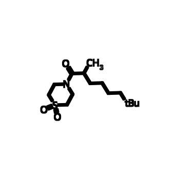 CC(CCCCC(C)(C)C)C(=O)N1CCS(=O)(=O)CC1